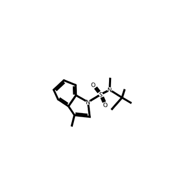 Cc1cn(S(=O)(=O)N(C)C(C)(C)C)c2ccccc12